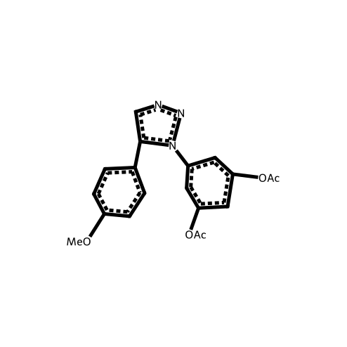 COc1ccc(-c2cnnn2-c2cc(OC(C)=O)cc(OC(C)=O)c2)cc1